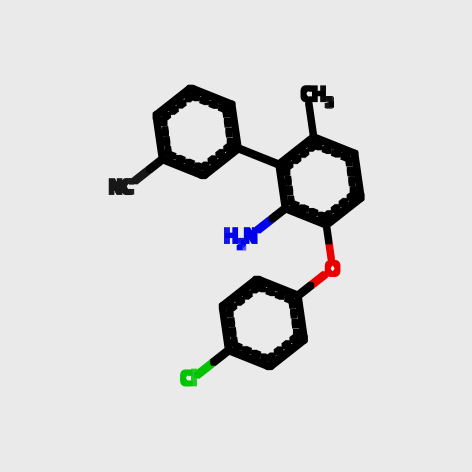 Cc1ccc(Oc2ccc(Cl)cc2)c(N)c1-c1cccc(C#N)c1